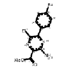 COC(=O)c1nc(Cl)c(-c2ccc(F)cc2)nc1N